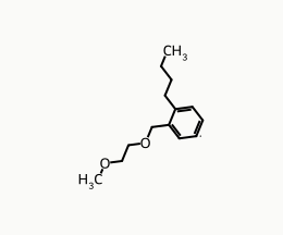 CCCCc1cc[c]cc1COCCOC